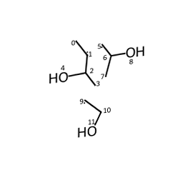 C[CH]C(C)O.[CH2]C(C)O.[CH2]CO